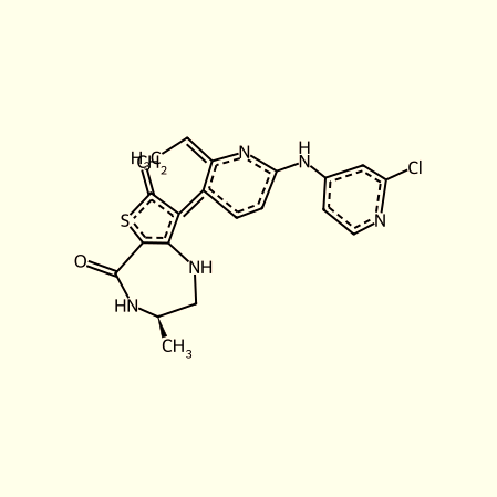 C=c1sc2c(/c1=c1\ccc(Nc3ccnc(Cl)c3)n\c1=C\C)NC[C@@H](C)NC2=O